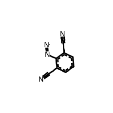 [N]=Nc1c(C#N)cccc1C#N